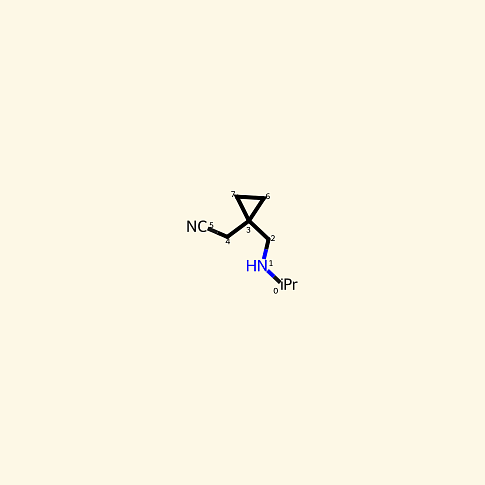 CC(C)NCC1(CC#N)CC1